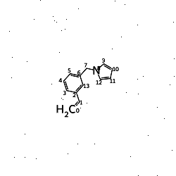 C=Cc1cccc(Cn2cccc2)c1